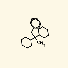 CC(Cc1ccccc1)(C1CCCCC1)C1CCCCC1